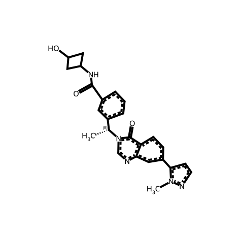 C[C@H](c1cccc(C(=O)NC2CC(O)C2)c1)n1cnc2cc(-c3ccnn3C)ccc2c1=O